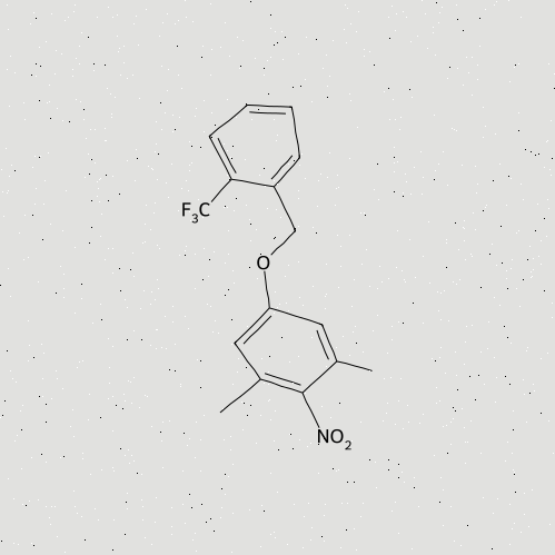 Cc1cc(OCc2ccccc2C(F)(F)F)cc(C)c1[N+](=O)[O-]